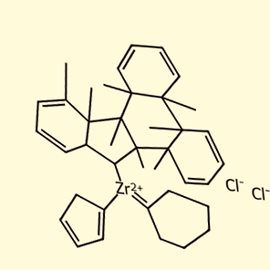 CC1=CC=CC2[CH]([Zr+2]([C]3=CC=CC3)=[C]3CCCCC3)C3(C)C4(C)C=CC=CC4(C)C4(C)C=CC=CC4(C)C3(C)C12C.[Cl-].[Cl-]